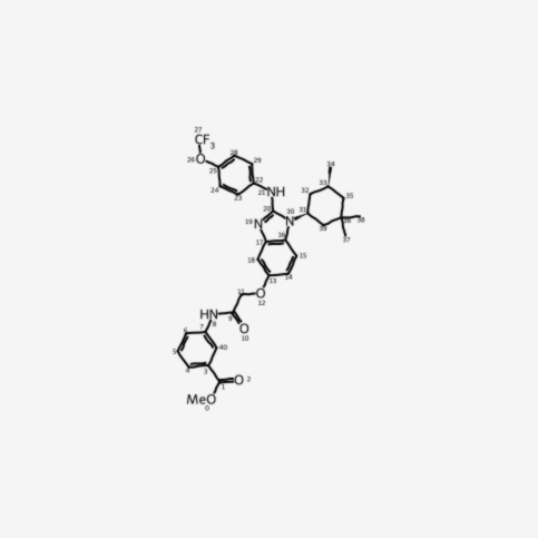 COC(=O)c1cccc(NC(=O)COc2ccc3c(c2)nc(Nc2ccc(OC(F)(F)F)cc2)n3[C@H]2C[C@@H](C)CC(C)(C)C2)c1